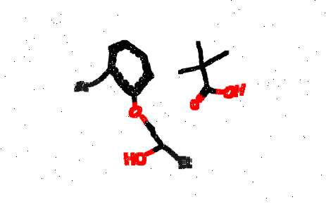 CC(C)(C)C(=O)O.CCc1ccccc1OCC(O)CC